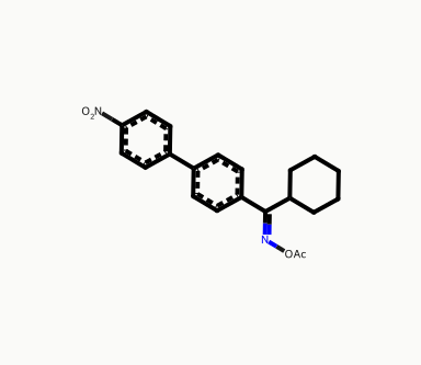 CC(=O)O/N=C(/c1ccc(-c2ccc([N+](=O)[O-])cc2)cc1)C1CCCCC1